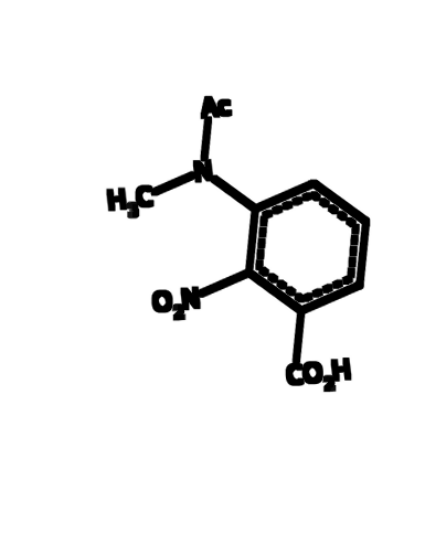 CC(=O)N(C)c1cccc(C(=O)O)c1[N+](=O)[O-]